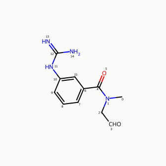 CN([CH]C=O)C(=O)c1cccc(NC(=N)N)c1